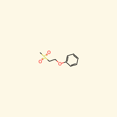 CS(=O)(=O)CCOc1ccccc1